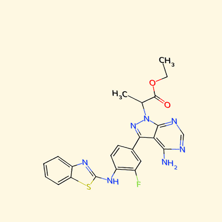 CCOC(=O)C(C)n1nc(-c2ccc(Nc3nc4ccccc4s3)c(F)c2)c2c(N)ncnc21